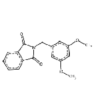 COc1cc(CN2C(=O)c3ccccc3C2=O)cc(OC)c1